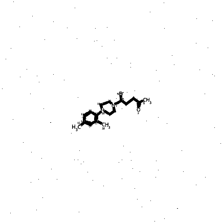 CC(=O)CCC(Br)N1CCN(c2ccc(C)cc2C)CC1